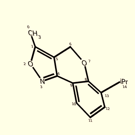 Cc1onc2c1COc1c-2cccc1C(C)C